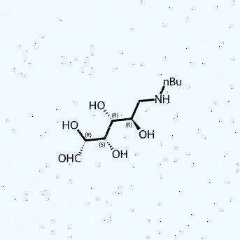 CCCCNC[C@@H](O)[C@@H](O)[C@H](O)[C@@H](O)C=O